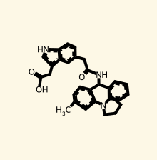 Cc1ccc(C(NC(=O)Cc2ccc3[nH]cc(CC(=O)O)c3c2)c2ccccc2)c(N2CCCC2)c1